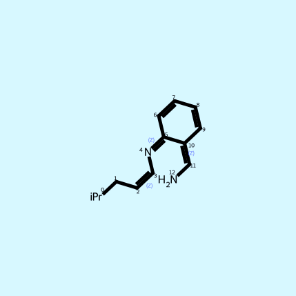 CC(C)C\C=C/N=C1/C=CC=C/C1=C/N